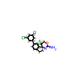 NC1=N[C@@]2(CCc3ccc(-c4cc(Cl)cc(Cl)c4)cc32)C(F)(F)CO1